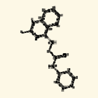 Cc1cc(NCC(=O)Nc2ccccc2)c2ccccc2n1